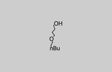 CCCCCCOCCCCO